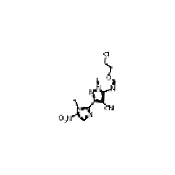 Cn1nc(-c2ncc([N+](=O)[O-])n2C)c(C#N)c1/N=C\OCCCl